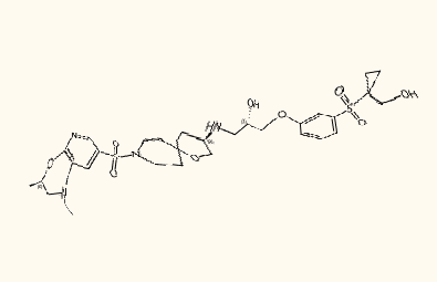 C[C@@H]1CN(C)c2cc(S(=O)(=O)N3CCC4(CC3)C[C@@H](NC[C@H](O)COc3cccc(S(=O)(=O)C5(CO)CC5)c3)CO4)cnc2O1